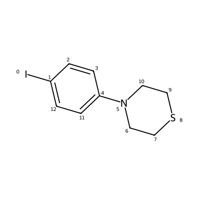 Ic1ccc(N2CCSCC2)cc1